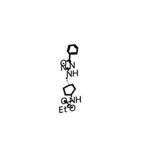 CCS(=O)(=O)N[C@H]1CC[C@H](CNc2noc(-c3ccccc3)n2)CC1